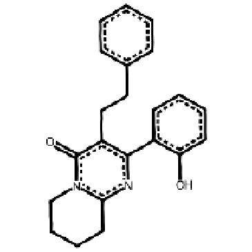 O=c1c(CCc2ccccc2)c(-c2ccccc2O)nc2n1CCCC2